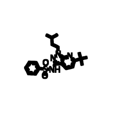 CC(C)CCn1nc(NS(=O)(=O)c2ccccc2)c2ccc(C(C)(C)C)nc21